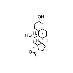 CC(=O)[C@H]1CC[C@H]2[C@@H]3CCC4C[C@@H](O)CC[C@]4(C)[C@H]3[C@@H](O)C[C@]12C